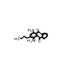 CCCCc1cc(N)c2c(c1N)C(=O)c1ccccc1C2=O